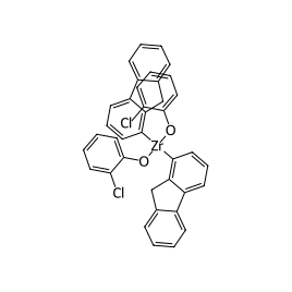 Clc1ccccc1[O][Zr]([O]c1ccccc1Cl)([c]1cccc2c1Cc1ccccc1-2)[c]1cccc2c1Cc1ccccc1-2